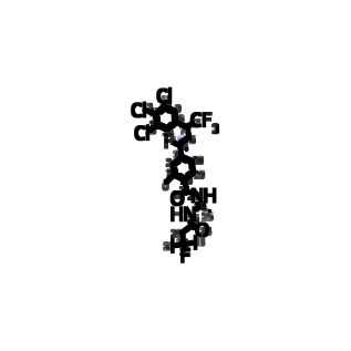 Cc1cc(/C(F)=C/C(c2cc(Cl)c(Cl)c(Cl)c2)C(F)(F)F)ccc1C(=O)N[C@H](C)NC(=O)CC(F)(I)I